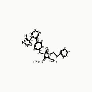 CCCCCc1c(C)n(CCc2ccccc2)c(=O)n1Cc1ccc(-c2cnccc2-c2nnn[nH]2)cc1